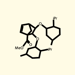 COC(=O)C12C=CC(C1)C(OC1CC(C)CCC1C(C)C)C2OC1CC(C)CCC1C(C)C